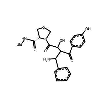 CC(C)(C)NC(=O)[C@@H]1CSCN1C(=O)C(O)C(C(=O)c1ccc(O)cc1)C(N)c1ccccc1